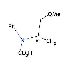 CCN(C(=O)O)[C@@H](C)COC